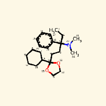 CCC(CCC1(C2CCCCC2)OCCO1)(c1ccccc1)N(C)C